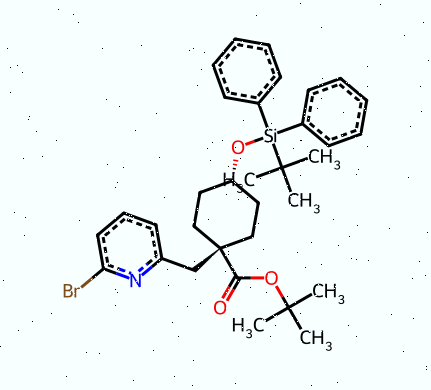 CC(C)(C)OC(=O)[C@]1(Cc2cccc(Br)n2)CC[C@H](O[Si](c2ccccc2)(c2ccccc2)C(C)(C)C)CC1